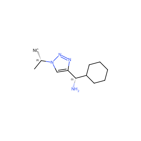 C[C@H](C#N)n1cc([C@@H](N)C2CCCCC2)nn1